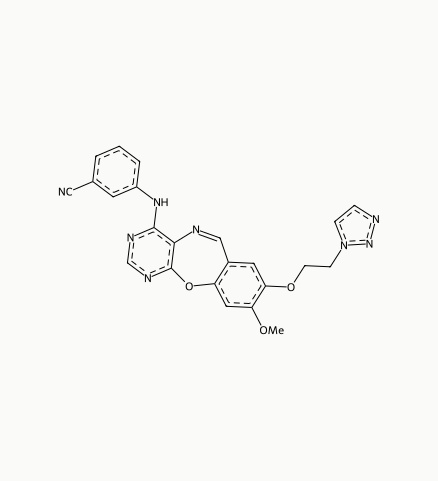 COc1cc2c(cc1OCCn1ccnn1)C=Nc1c(Nc3cccc(C#N)c3)ncnc1O2